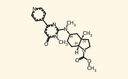 COC(=O)N1CC[C@@]2(C)C[C@H](N(C)c3nc(-c4ccncc4)cc(=O)n3C)CC[C@@H]12